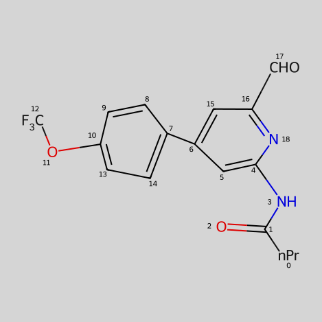 CCCC(=O)Nc1cc(-c2ccc(OC(F)(F)F)cc2)cc(C=O)n1